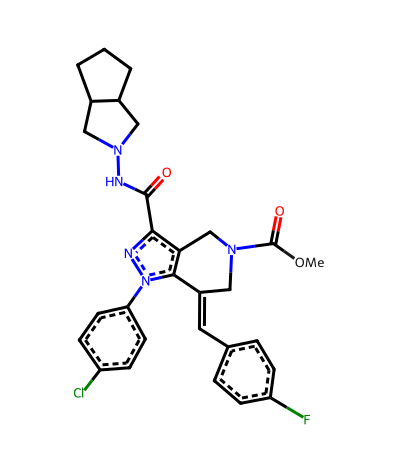 COC(=O)N1CC(=Cc2ccc(F)cc2)c2c(c(C(=O)NN3CC4CCCC4C3)nn2-c2ccc(Cl)cc2)C1